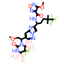 BC1(B)NC(=O)N(C(COC)c2cnn3cc(C(CCC(C)(C)C(F)(F)F)NC(=O)c4nonc4OC)nc3c2)C(B)(B)C1(F)F